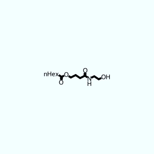 CCCCCCC(=O)OCCCC(=O)NCCO